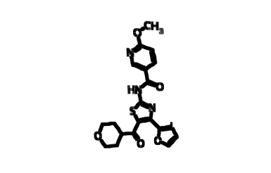 COc1ccc(C(=O)Nc2nc(C3=IC=CO3)c(C(=O)C3CCOCC3)s2)cn1